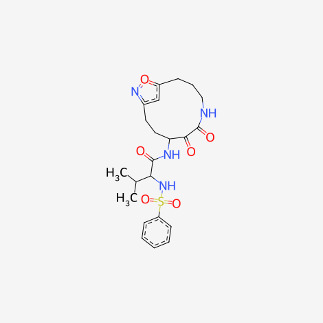 CC(C)C(NS(=O)(=O)c1ccccc1)C(=O)NC1CCc2cc(on2)CCCNC(=O)C1=O